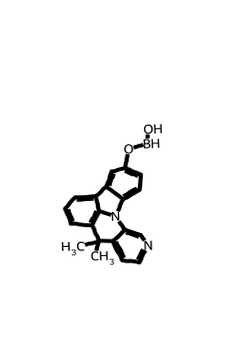 CC1(C)c2ccncc2-n2c3ccc(OBO)cc3c3cccc1c32